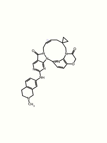 CN1CCc2ccc(Nc3ncc4c(=O)n5n(c4n3)-c3ccc4c(n3)N(CC3(C/C=C\C5)CC3)C(=O)CO4)cc2C1